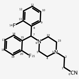 N#CCCN1CCN(C(c2ccccc2F)c2ccccc2F)CC1